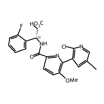 COc1ccc(C(=O)N[C@@H](CC(=O)O)c2ccccc2F)nc1-c1cc(C)cnc1Cl